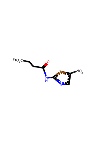 CCOC(=O)CCC(=O)Nc1ncc([N+](=O)[O-])s1